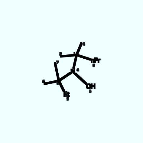 CCCC(C)(C)N(O)C(C)(C)CC